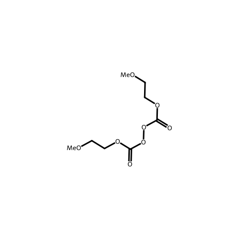 COCCOC(=O)OOC(=O)OCCOC